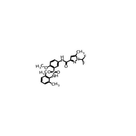 COc1ccc(NC(=O)c2cc(C)n(C(F)F)n2)cc1S(=O)(=O)Nc1c(C)cccc1C